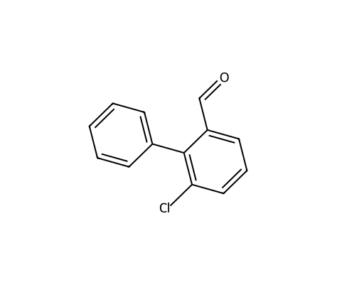 O=Cc1cccc(Cl)c1-c1ccccc1